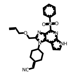 C=CCOCc1nc2c(S(=O)(=O)c3ccccc3)nc3[nH]ccc3c2n1C1CCC(=CC#N)CC1